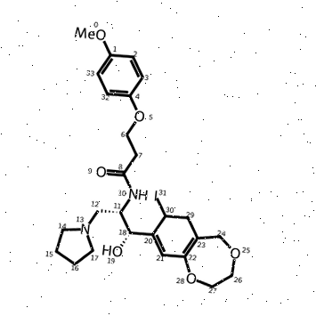 COc1ccc(OCCC(=O)N[C@@H](CN2CCCC2)[C@@H](O)C2=CC3=C(COCCO3)CC2I)cc1